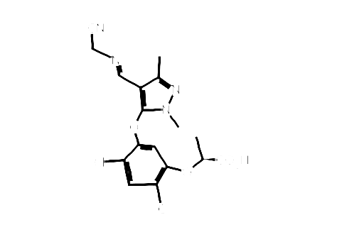 Cc1nn(C)c(Oc2cc(O[C@@H](C)C(=O)O)c(Cl)cc2Cl)c1/C=N/CC#N